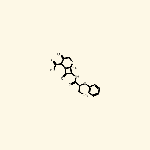 C=C1CS[C@H]2C(NC(=O)C(CC)Oc3ccccc3)C(=O)N2C1C(=O)O